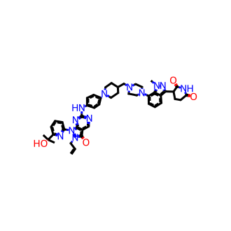 C=CCn1c(=O)c2cnc(Nc3ccc(N4CCC(CN5CCN(c6cccc7c(C8CCC(=O)NC8=O)nn(C)c67)CC5)CC4)cc3)nc2n1-c1cccc(C(C)(C)O)n1